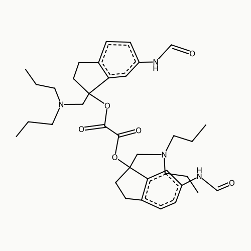 CCCN(CCC)CC1(OC(=O)C(=O)OC2(CN(CCC)CCC)CCc3ccc(NC=O)cc32)CCc2ccc(NC=O)cc21